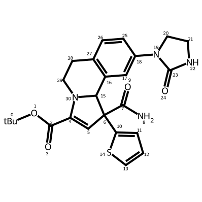 CC(C)(C)OC(=O)C1=CC(C(N)=O)(c2cccs2)C2c3cc(N4CCNC4=O)ccc3CCN12